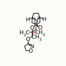 CC(C)(C)OC(=O)N1[C@@H]2CC[C@H]1CN(CCCOC1=NOCC1)C2